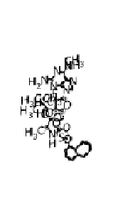 CNc1nc(N)nc2c1ncn2[C@@H]1O[C@H](COP(=O)(N[C@@H](C)C(=O)OCC(C)(C)C)SOc2cccc3ccccc23)[C@@H](O)[C@@]1(C)F